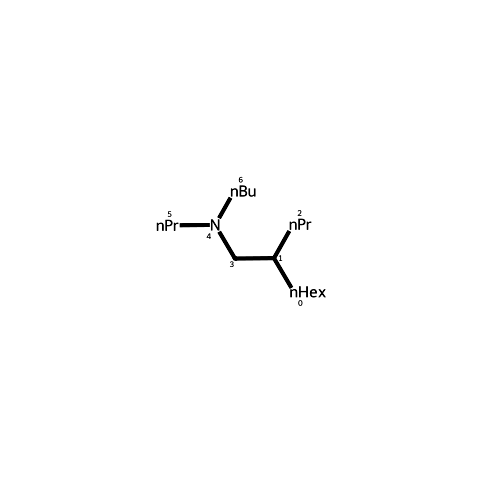 CCCCCCC(CCC)CN(CCC)CCCC